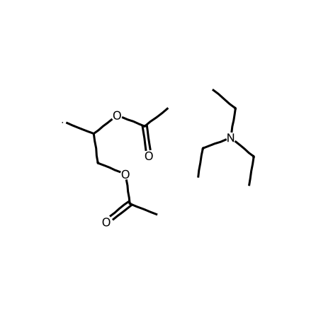 CCN(CC)CC.[CH2]C(COC(C)=O)OC(C)=O